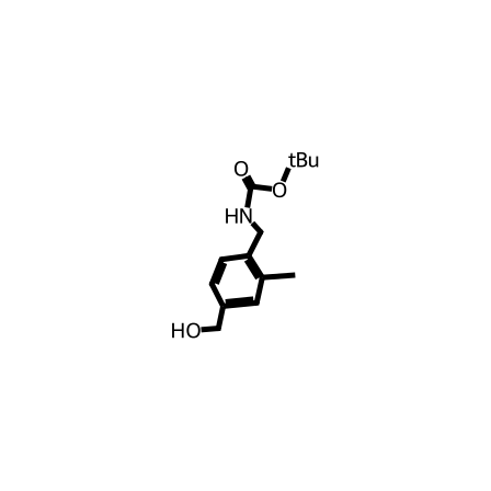 Cc1cc(CO)ccc1CNC(=O)OC(C)(C)C